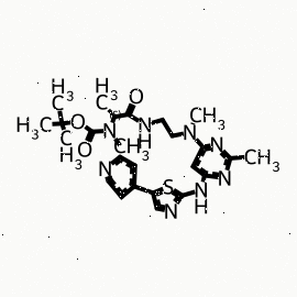 Cc1nc(Nc2ncc(-c3ccncc3)s2)cc(N(C)CCNC(=O)[C@H](C)N(C)C(=O)OC(C)(C)C)n1